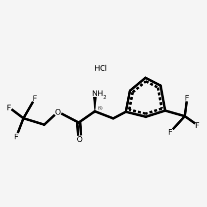 Cl.N[C@@H](Cc1cccc(C(F)(F)F)c1)C(=O)OCC(F)(F)F